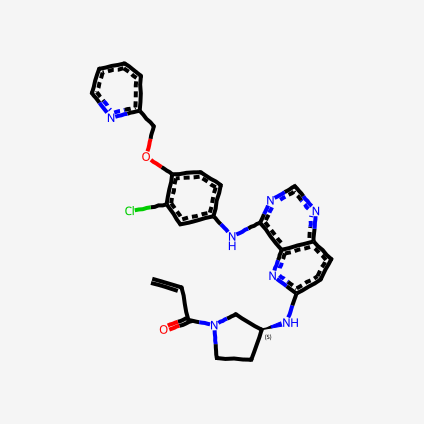 C=CC(=O)N1CC[C@H](Nc2ccc3ncnc(Nc4ccc(OCc5ccccn5)c(Cl)c4)c3n2)C1